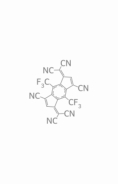 N#CC1=CC(=C(C#N)C#N)c2c1c(C(F)(F)F)c1c(c2C(F)(F)F)C(C#N)=CC1=C(C#N)C#N